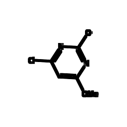 COc1cc(Cl)nc([O])n1